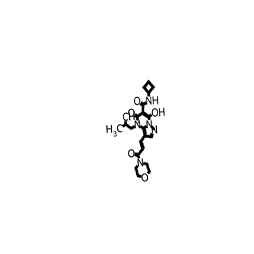 CC(C)Cn1c(=O)c(C(=O)NC2CCC2)c(O)n2ncc(C=CC(=O)N3CCOCC3)c12